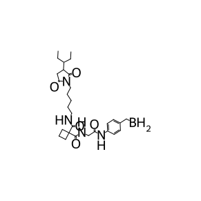 BCc1ccc(NC(=O)CNC(=O)C2(C(=O)NCCCCCN3C(=O)CC(C(CC)CC)C3=O)CCC2)cc1